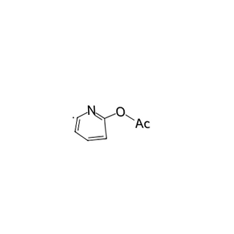 CC(=O)Oc1ccc[c]n1